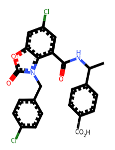 CC(NC(=O)c1cc(Cl)cc2oc(=O)n(Cc3ccc(Cl)cc3)c12)c1ccc(C(=O)O)cc1